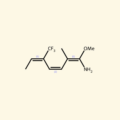 C\C=C(/C=C\C(C)=C(/N)OC)C(F)(F)F